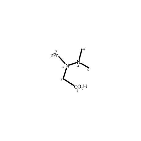 CCCN(CC(=O)O)N(C)C